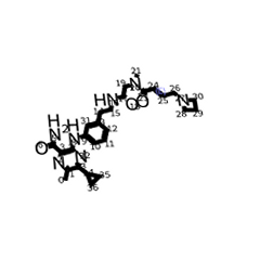 Cc1nc(C(N)=O)c(Nc2cccc(CCNC(=O)CN(C)C(=O)/C=C/CN3CCC3)c2)nc1C1CC1